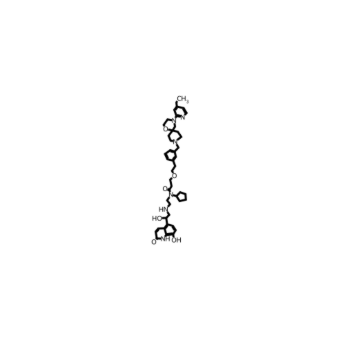 CCc1ccnc(N2CCOC3(CCN(Cc4cccc(CCOCCC(=O)N(CCNCC(O)c5ccc(O)c6[nH]c(=O)ccc56)C5CCCC5)c4)CC3)C2)c1